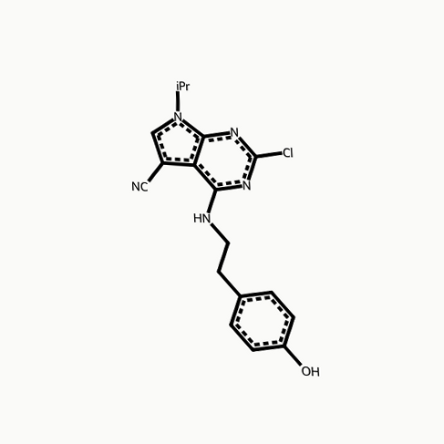 CC(C)n1cc(C#N)c2c(NCCc3ccc(O)cc3)nc(Cl)nc21